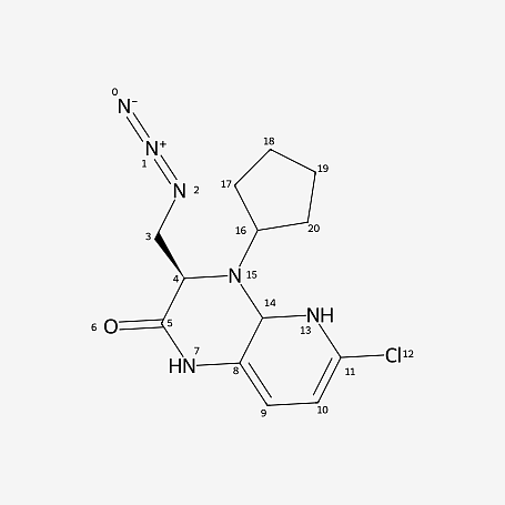 [N-]=[N+]=NC[C@@H]1C(=O)NC2=CC=C(Cl)NC2N1C1CCCC1